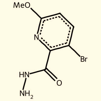 COc1ccc(Br)c(C(=O)NN)n1